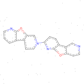 c1cnc2oc3c[n+](-c4ccc5c(n4)oc4ccncc45)ccc3c2c1